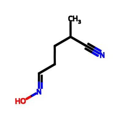 CC(C#N)CCC=NO